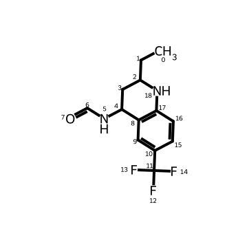 CCC1CC(NC=O)c2cc(C(F)(F)F)ccc2N1